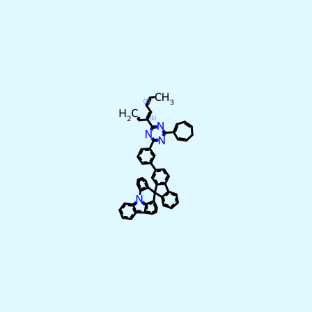 C=C/C(=C\C=C/C)c1nc(C2=CC=CCC=C2)nc(-c2cccc(-c3ccc4c(c3)C3(c5ccccc5-4)c4ccccc4-n4c5ccccc5c5cccc3c54)c2)n1